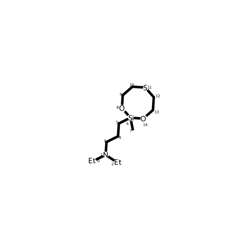 CCN(CC)CCC[Si]1(C)OCCSCCO1